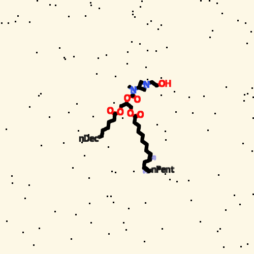 CCCCC/C=C\C/C=C\CCCCCCCC(=O)OCC(COC(=O)CCCCCCCCCCCCCCC)OC(=O)N(C)C1CN(CCO)C1